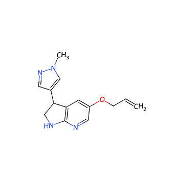 C=CCOc1cnc2c(c1)C(c1cnn(C)c1)CN2